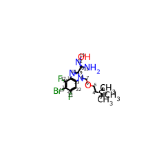 C[Si](C)(C)CCOCn1c(/C(N)=N/O)nc2c(F)c(Br)c(F)cc21